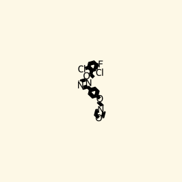 CC(Oc1[c]ncc(-c2ccc(OCCN3CCOCC3)cc2)n1)c1c(Cl)ccc(F)c1Cl